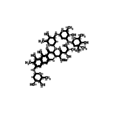 CO[C@H](C(=O)[C@@H](O)[C@@H](C)O)[C@@H]1Cc2cc3cc(O[C@H]4C[C@@H](O)[C@H](O)C(C)O4)c(C)c(O)c3c(O)c2C(=O)[C@H]1O[C@H]1CC(O[C@H]2CC(O[C@H]3C[C@](C)(O)[C@H](O)C(C)O3)[C@@H](O)C(C)O2)[C@H](O)C(C)O1